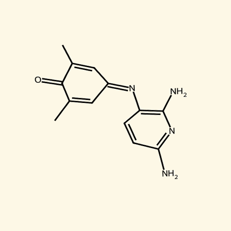 CC1=CC(=Nc2ccc(N)nc2N)C=C(C)C1=O